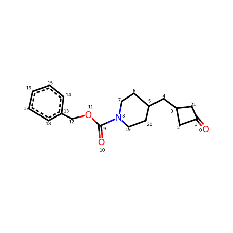 O=C1CC(CC2CCN(C(=O)OCc3ccccc3)CC2)C1